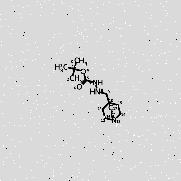 CC(C)(C)OC(=O)NNCC12CCN(CC1)CC2